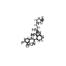 O/N=C(\Nc1ccc(F)c(Cl)c1)c1ccnc2nc(NCCN3CCC(F)(F)C3)[nH]c12